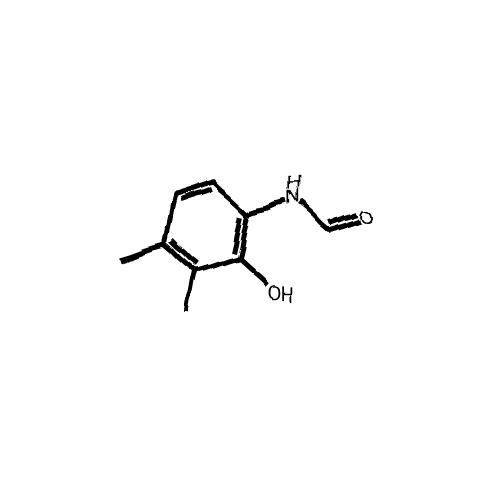 Cc1ccc(NC=O)c(O)c1C